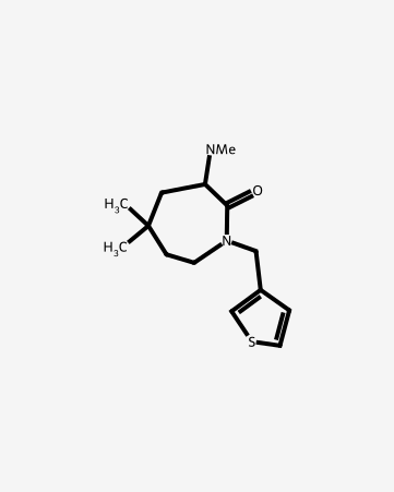 CNC1CC(C)(C)CCN(Cc2ccsc2)C1=O